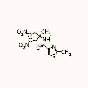 Cc1nc(C(=O)NC(C)(CO[N+](=O)[O-])CO[N+](=O)[O-])cs1